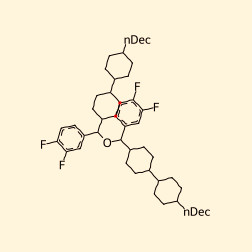 CCCCCCCCCCC1CCC(C2CCC(C(OC(c3ccc(F)c(F)c3)C3CCC(C4CCC(CCCCCCCCCC)CC4)CC3)c3ccc(F)c(F)c3)CC2)CC1